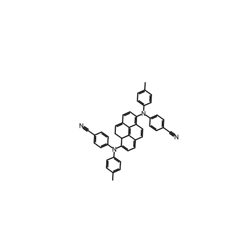 Cc1ccc(N(C2=CC=c3ccc4c(N(c5ccc(C)cc5)c5ccc(C#N)cc5)ccc5c4c3C2CC=5)c2ccc(C#N)cc2)cc1